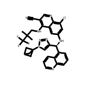 CC(C)(CNc1c(C#N)cnc2c(Cl)cc(N[C@H](c3cn(C45CC(C4)C5)nn3)c3cccc4ncccc34)cc12)C(F)(F)F